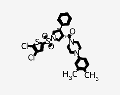 Cc1ccc(N2CCN(C(=O)[C@@H]3CN(S(=O)(=O)c4cc(Cl)c(Cl)s4)C[C@H]3c3ccccc3)CC2)cc1C